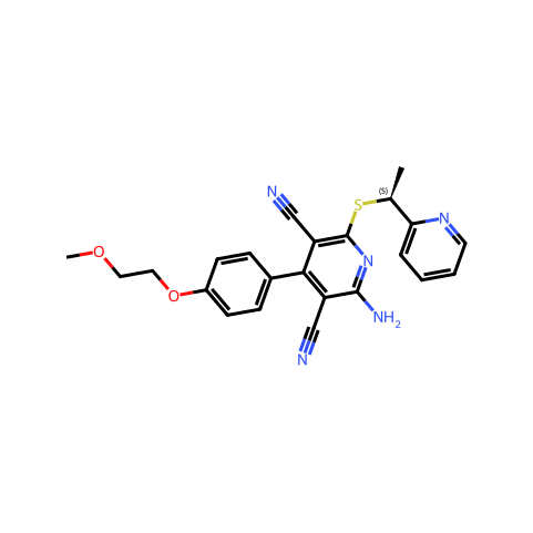 COCCOc1ccc(-c2c(C#N)c(N)nc(S[C@@H](C)c3ccccn3)c2C#N)cc1